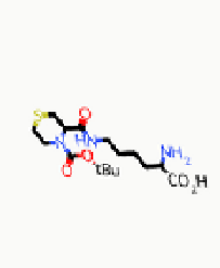 CC(C)(C)OC(=O)N1CCSCC1C(=O)NCCCCC(N)C(=O)O